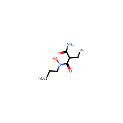 CCCCCCCCCCN(O)C(=O)C(CC(C)C)C(N)=O